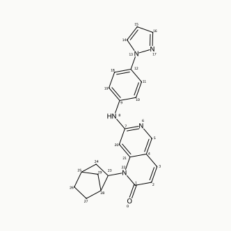 O=c1ccc2cnc(Nc3ccc(-n4cccn4)cc3)cc2n1C1CC2CCC1C2